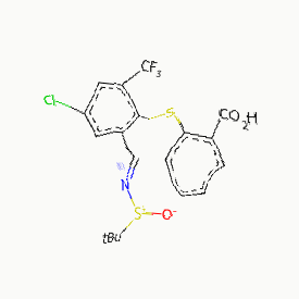 CC(C)(C)[S+]([O-])/N=C/c1cc(Cl)cc(C(F)(F)F)c1Sc1ccccc1C(=O)O